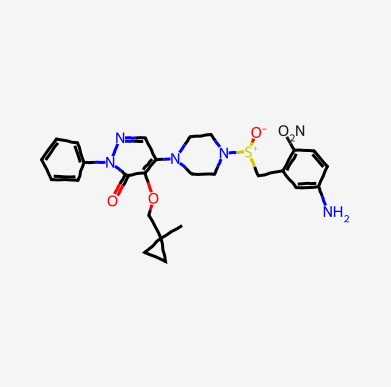 CC1(COc2c(N3CCN([S+]([O-])Cc4cc(N)ccc4[N+](=O)[O-])CC3)cnn(-c3ccccc3)c2=O)CC1